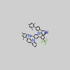 Cc1cc(C)c(-c2ccc3c4ccccc4n(-c4cc(-c5cc(C#N)cc(C(F)(F)F)c5)c(-n5c6ccccc6c6ccc(-c7c(C)cc(C)cc7C)cc65)cc4C#N)c3c2)c(C)c1